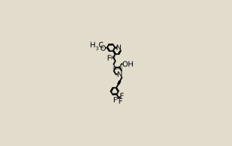 COc1ccc2nccc([C@@H](F)CC[C@@H]3CCN(CC#Cc4cccc(C(F)(F)F)c4)C[C@@H]3CO)c2c1